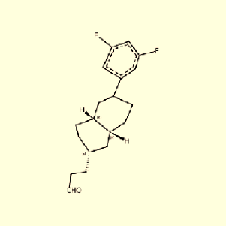 O=CCC[C@@H]1CC[C@@H]2CC(c3cc(F)cc(F)c3)CC[C@@H]2C1